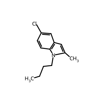 CCCCn1c(C)cc2cc(Cl)ccc21